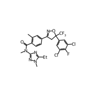 CCc1nc(N(C)C(=O)c2ccc(C3=NOC(c4cc(Cl)c(F)c(Cl)c4)(C(F)(F)F)C3)cc2C)nn1C